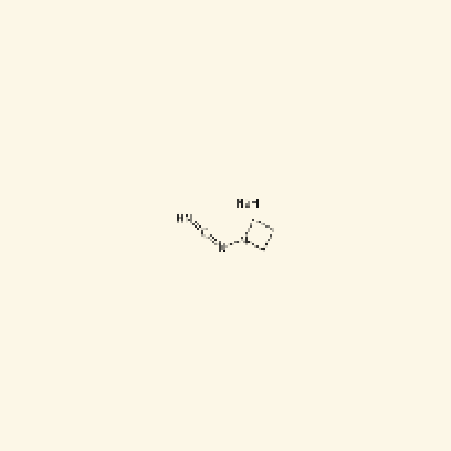 N=C=NN1CCC1.[NaH]